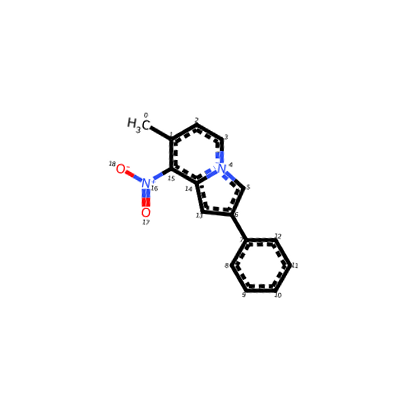 Cc1ccn2cc(-c3ccccc3)cc2c1[N+](=O)[O-]